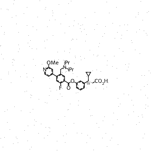 COc1cc(-c2cc(F)c(C(=O)Oc3cccc([C@@H](CC(=O)O)C4CC4)c3)cc2CN(C(C)C)C(C)C)ccn1